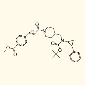 COC(=O)c1ccc(/C=C/C(=O)N2CCC(CN(C(=O)OC(C)(C)C)C3CC3c3ccccc3)CC2)cc1